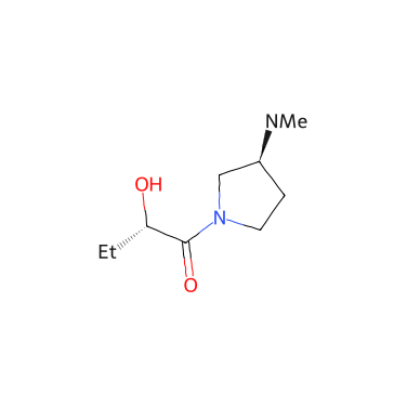 CC[C@H](O)C(=O)N1CC[C@H](NC)C1